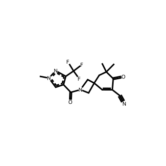 Cn1cc(C(=O)N2CC3(C=C(C#N)C(=O)C(C)(C)C3)C2)c(C(F)(F)F)n1